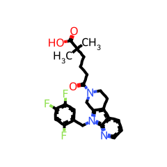 CC(C)(CCCC(=O)N1CCc2c(n(Cc3cc(F)c(F)cc3F)c3ncccc23)C1)C(=O)O